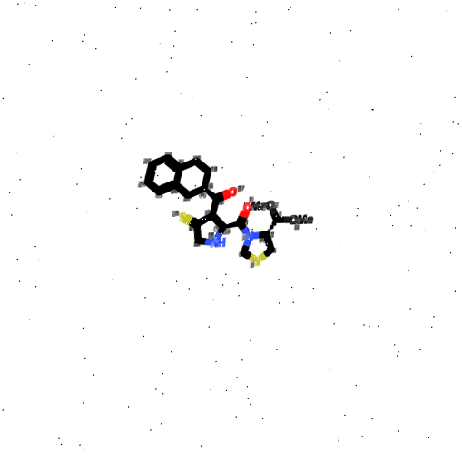 COC(OC)[C@@H]1CSCN1C(=O)[C@H]1NCC(=S)C1C(=O)[C@@H]1CCc2ccccc2C1